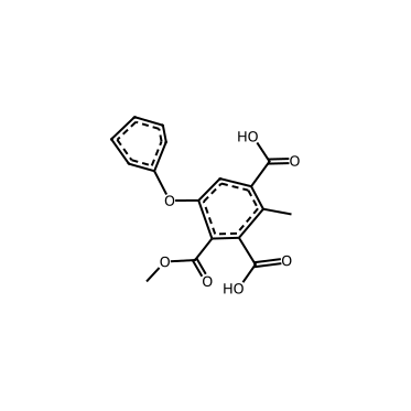 COC(=O)c1c(Oc2ccccc2)cc(C(=O)O)c(C)c1C(=O)O